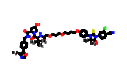 Cc1ncoc1-c1ccc(CNC(=O)[C@@H]2C[C@@H](O)CN2C(=O)[C@@H](NC(=O)COCCCOCCCCOc2ccc(N3C(=S)N(c4ccc(C#N)c(Cl)c4)C(=O)C3(C)C)cc2)C(C)(C)C)cc1